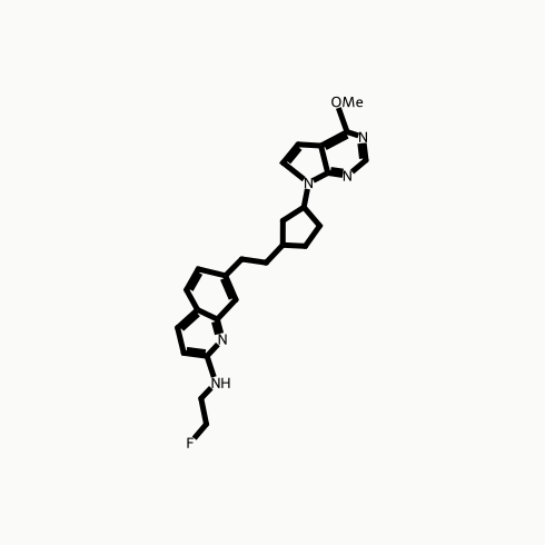 COc1ncnc2c1ccn2C1CCC(CCc2ccc3ccc(NCCF)nc3c2)C1